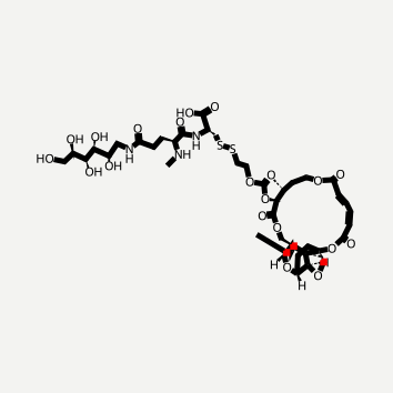 CN[C@@H](CCC(=O)NC[C@H](O)[C@@H](O)[C@H](O)[C@H](O)CO)C(=O)N[C@@H](CSSCCOC(=O)O[C@@H]1C(=O)OC[C@]23CCC(C)=C[C@H]2O[C@@H]2CC[C@@H](OC(=O)/C=C\C=C\C(=O)OCC[C@H]1C)[C@@]3(C)[C@]21CO1)C(=O)O